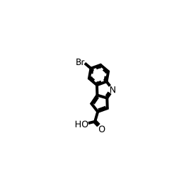 O=C(O)C1=CC2=Nc3ccc(Br)cc3C2=C1